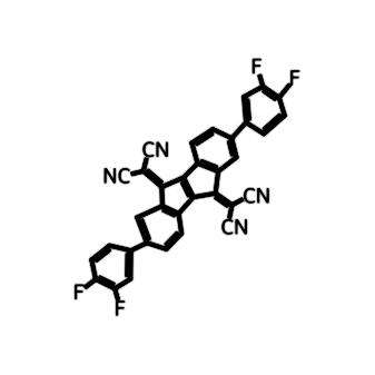 N#CC(C#N)=C1C2=C(C(=C(C#N)C#N)c3cc(-c4ccc(F)c(F)c4)ccc32)c2ccc(-c3ccc(F)c(F)c3)cc21